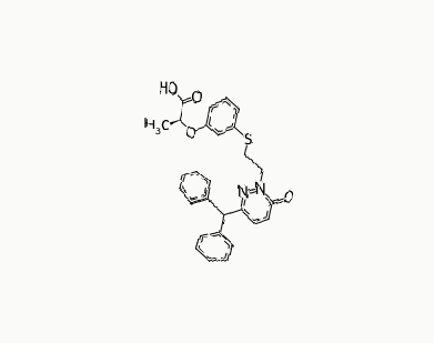 C[C@H](Oc1cccc(SCCn2nc(C(c3ccccc3)c3ccccc3)ccc2=O)c1)C(=O)O